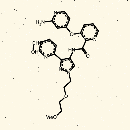 COCCOCCn1cc(NC(=O)c2ncccc2Oc2ccnc(N)c2)c(-c2ccccn2)n1.O=CO